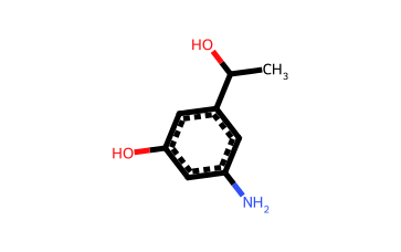 CC(O)c1cc(N)cc(O)c1